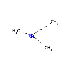 CCCCCCCCCCCCCCCCCC1N(CCCCCCCCC)C=CN1CCCCCCCCCCCC